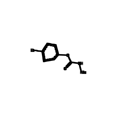 CCCCNC(=O)Oc1ccc(CC)cc1